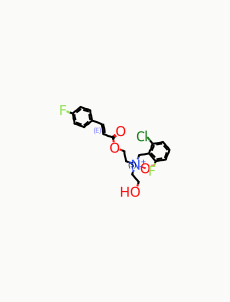 O=C(/C=C/c1ccc(F)cc1)OCC[N@@+]([O-])(CCO)Cc1c(F)cccc1Cl